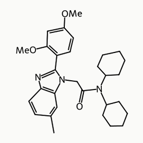 COc1ccc(-c2nc3ccc(C)cc3n2CC(=O)N(C2CCCCC2)C2CCCCC2)c(OC)c1